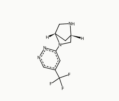 FC(F)(F)c1cnnc(N2C[C@@H]3C[C@H]2CN3)c1